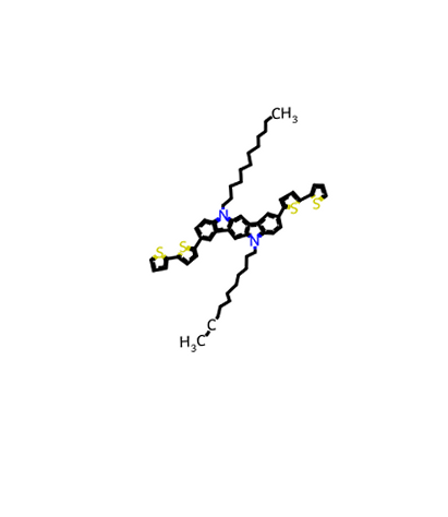 CCCCCCCCCCCCn1c2ccc(-c3ccc(-c4cccs4)s3)cc2c2cc3c(cc21)c1cc(-c2ccc(-c4cccs4)s2)ccc1n3CCCCCCCCCCCC